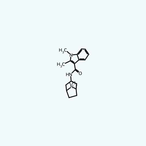 Cc1c(C(=O)NC2CC3CCC(C2)N3C)c2ccccc2n1C